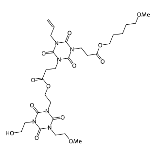 C=CCn1c(=O)n(CCC(=O)OCCCCCOC)c(=O)n(CCC(=O)OCCn2c(=O)n(CCO)c(=O)n(CCOC)c2=O)c1=O